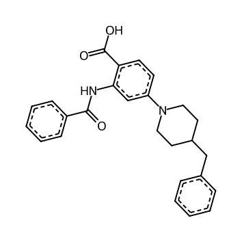 O=C(Nc1cc(N2CCC(Cc3ccccc3)CC2)ccc1C(=O)O)c1ccccc1